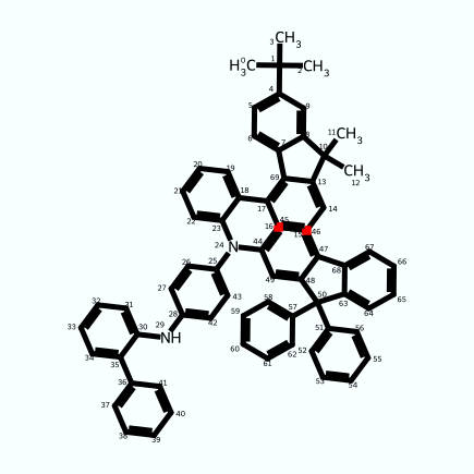 CC(C)(C)c1ccc2c(c1)C(C)(C)c1cccc(-c3ccccc3N(c3ccc(Nc4ccccc4-c4ccccc4)cc3)c3ccc4c(c3)C(c3ccccc3)(c3ccccc3)c3ccccc3-4)c1-2